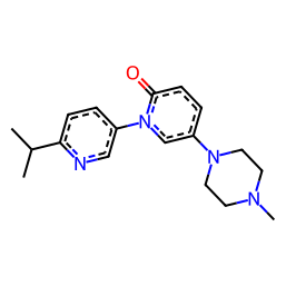 CC(C)c1ccc(-n2cc(N3CCN(C)CC3)ccc2=O)cn1